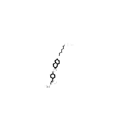 CCCCCCCCCCCCCCCCOc1ccc2cc(OCc3ccc(C(=O)OC[C@H](C)CC)cc3)ccc2c1